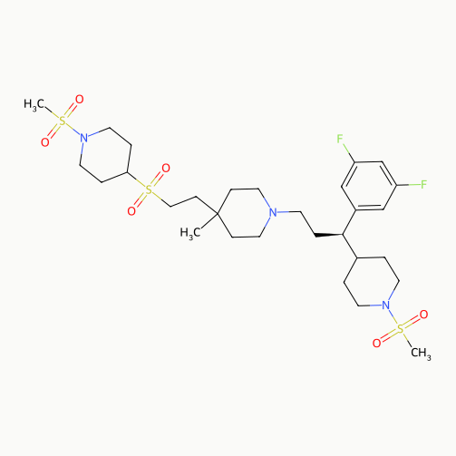 CC1(CCS(=O)(=O)C2CCN(S(C)(=O)=O)CC2)CCN(CC[C@@H](c2cc(F)cc(F)c2)C2CCN(S(C)(=O)=O)CC2)CC1